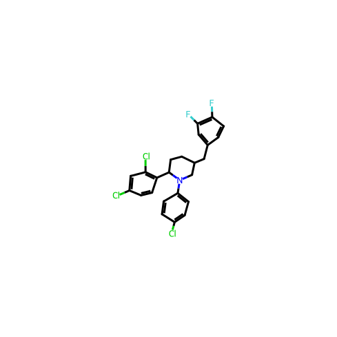 Fc1ccc(CC2CCC(c3ccc(Cl)cc3Cl)N(c3ccc(Cl)cc3)C2)cc1F